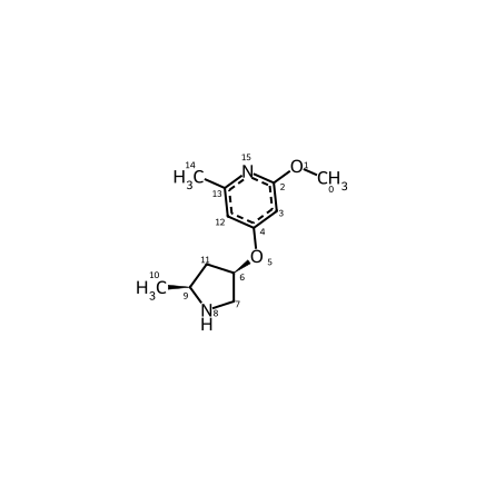 COc1cc(O[C@H]2CN[C@@H](C)C2)cc(C)n1